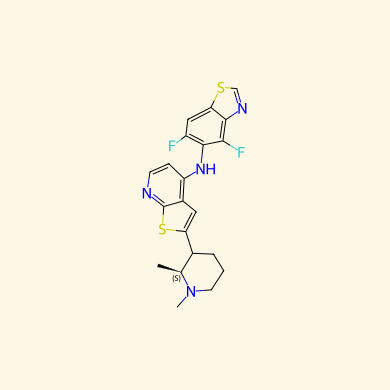 C[C@H]1C(c2cc3c(Nc4c(F)cc5scnc5c4F)ccnc3s2)CCCN1C